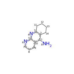 Nc1c2c(nc3ncccc13)CCCC2